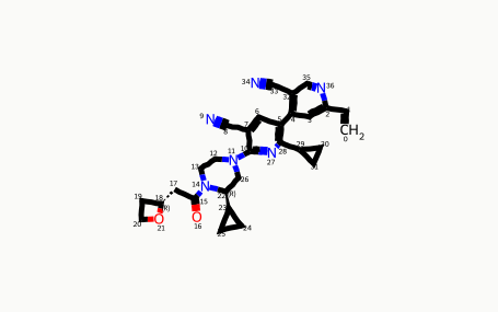 C=Cc1cc(-c2cc(C#N)c(N3CCN(C(=O)C[C@H]4CCO4)[C@H](C4CC4)C3)nc2C2CC2)c(C#N)cn1